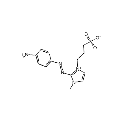 Cn1cc[n+](CCCS(=O)(=O)[O-])c1/N=N/c1ccc(N)cc1